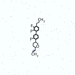 C/C=C/C1CCC(c2ccc(-c3ccc(CCC)c(F)c3F)cc2F)CO1